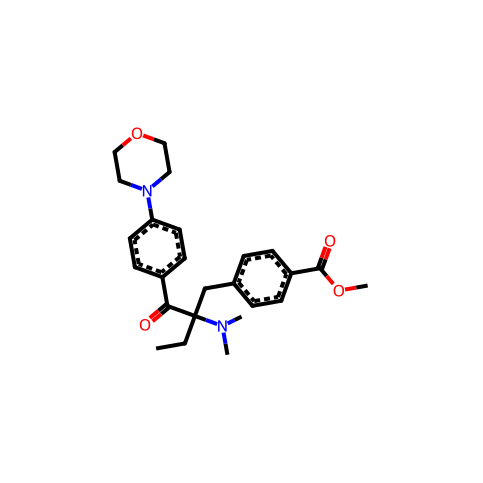 CCC(Cc1ccc(C(=O)OC)cc1)(C(=O)c1ccc(N2CCOCC2)cc1)N(C)C